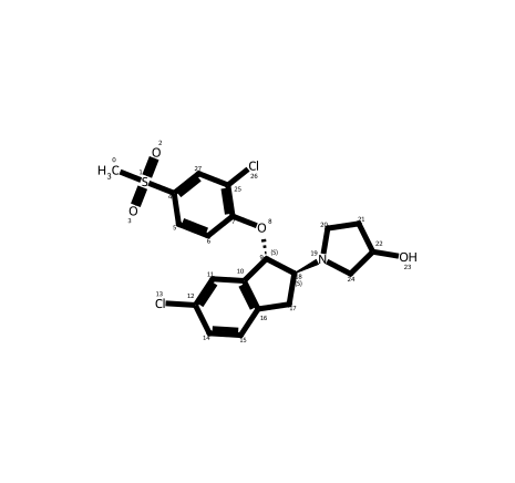 CS(=O)(=O)c1ccc(O[C@H]2c3cc(Cl)ccc3C[C@@H]2N2CCC(O)C2)c(Cl)c1